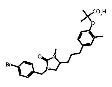 Cc1cc(CCCC2CN(Cc3ccc(Br)cc3)C(=O)N2C)ccc1OC(C)(C)C(=O)O